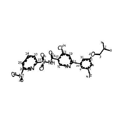 CC(C)COc1cc(F)cc(-c2cc(Cl)c(C(=O)NS(=O)(=O)c3cccc([N+](=O)[O-])n3)cn2)c1